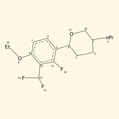 CCCC1CCC(c2ccc(OCC)c(C(F)F)c2F)OC1